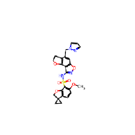 COc1ccc2c(c1S(=O)(=O)Nc1noc3cc(Cn4cccn4)c4c(c13)OCC4)OCC21CC1